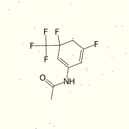 CC(=O)NC1=CC(F)(C(F)(F)F)[CH]C(F)=C1